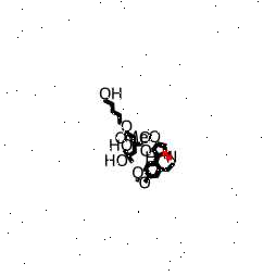 COC1=CC23CCCN2CCc2cc4c(cc2[C@@H]3C1OC(=O)[C@](O)(CC(=O)OCCCCCO)CC(C)(C)O)OCO4